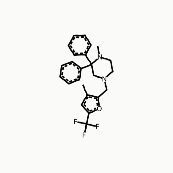 Cc1cc(C(F)(F)F)oc1CN1CCN(C)C(c2ccccc2)(c2ccccc2)C1